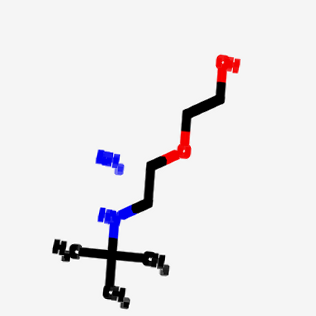 CC(C)(C)NCCOCCO.N